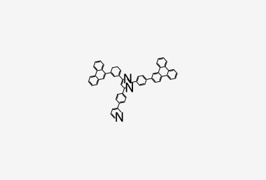 C1=C(c2cc(-c3ccc(-c4cccnc4)cc3)nc(-c3ccc(-c4ccc5c6ccccc6c6ccccc6c5c4)cc3)n2)C=C(c2cc3ccccc3c3ccccc23)CC1